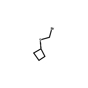 BrCSC1CCC1